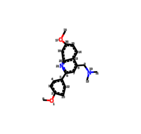 COc1ccc(-c2cc(CN(C)C)c3ccc(OC)cc3n2)cc1